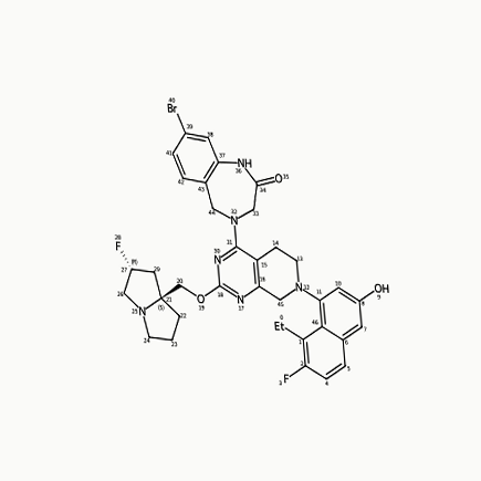 CCc1c(F)ccc2cc(O)cc(N3CCc4c(nc(OC[C@@]56CCCN5C[C@H](F)C6)nc4N4CC(=O)Nc5cc(Br)ccc5C4)C3)c12